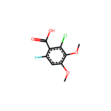 COc1cc(F)c(C(=O)O)c(Cl)c1OC